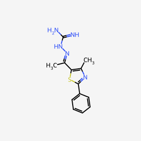 C/C(=N\NC(=N)N)c1sc(-c2ccccc2)nc1C